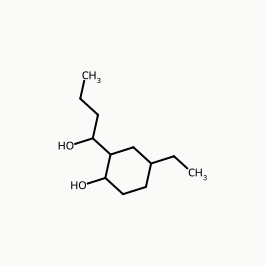 CCCC(O)C1CC(CC)CCC1O